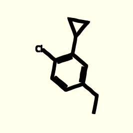 CCc1ccc(Cl)c(C2CC2)c1